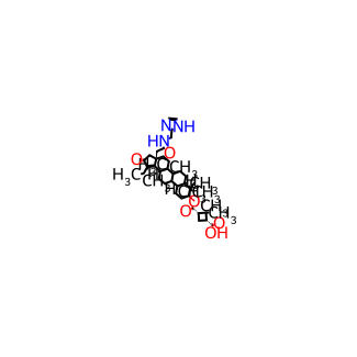 CC(C)C1=C2[C@H]3CC[C@@H]4[C@@]5(C)CC[C@H](OC(=O)[C@H]6C[C@@H](C(=O)O)C6(C)C)C(C)(C)[C@@H]5CC[C@@]4(C)[C@]3(C)CC[C@@]2(CC(=O)NCc2ncc[nH]2)CC1=O